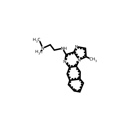 Cc1cnc2c(NCCN(C)C)nc3cc4ccccc4cc3n12